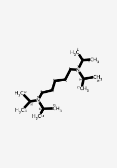 CC(C)N(CC[CH]CCN(C(C)C)C(C)C)C(C)C